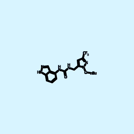 CCCCOn1nc(C(F)(F)F)cc1CNC(=O)Nc1cccc2[nH]ncc12